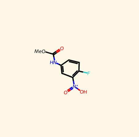 COC(=O)Nc1ccc(F)c([N+](=O)O)c1